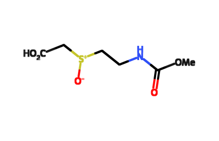 COC(=O)NCC[S+]([O-])CC(=O)O